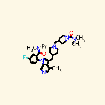 Cc1cncc2c1c(CC1CCN(CC3CCN(C(=O)N(C)C)CC3)CC1)cn2-c1ccc(F)cc1C(=O)N(C)C(C)C